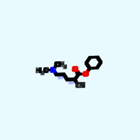 CN(C)/C=C/C=C(/C#N)C(=O)OC1CCCCC1